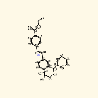 CCOC(=O)c1ccc(/C=C/c2ccc3c(c2)C(C2SCCCS2)CCC3(C)C)cc1